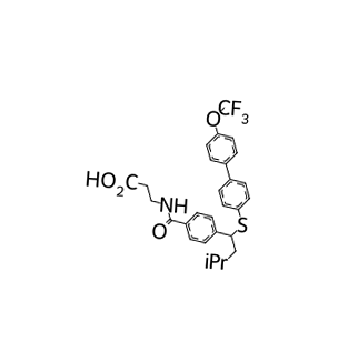 CC(C)CC(Sc1ccc(-c2ccc(OC(F)(F)F)cc2)cc1)c1ccc(C(=O)NCCC(=O)O)cc1